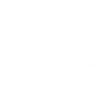 O=C1c2ccccc2C(=O)c2c1oc(C(F)(F)F)c2C(=O)c1ccc(Br)cc1